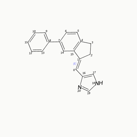 C(=C1/CCc2ccc(-c3ccccc3)cc21)/c1c[nH]cn1